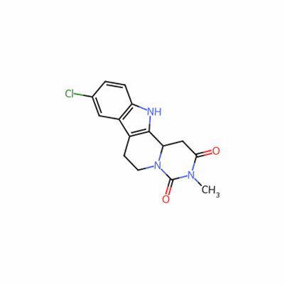 CN1C(=O)CC2c3[nH]c4ccc(Cl)cc4c3CCN2C1=O